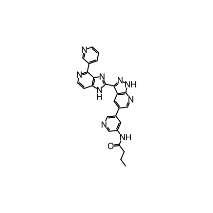 CCCC(=O)Nc1cncc(-c2cnc3[nH]nc(-c4nc5c(-c6cccnc6)nccc5[nH]4)c3c2)c1